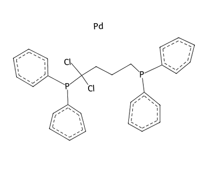 ClC(Cl)(CCCP(c1ccccc1)c1ccccc1)P(c1ccccc1)c1ccccc1.[Pd]